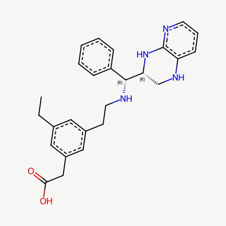 CCc1cc(CCN[C@H](c2ccccc2)[C@H]2CNc3cccnc3N2)cc(CC(=O)O)c1